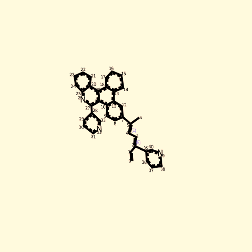 C=C/C(=C\C=C(/C)c1ccc2c(c1)c1ccccc1c1c3ccccc3nc(-c3cccnc3)c21)c1cccnc1